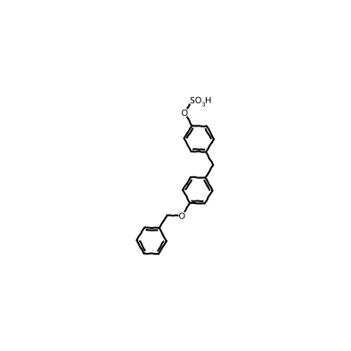 O=S(=O)(O)Oc1ccc(Cc2ccc(OCc3ccccc3)cc2)cc1